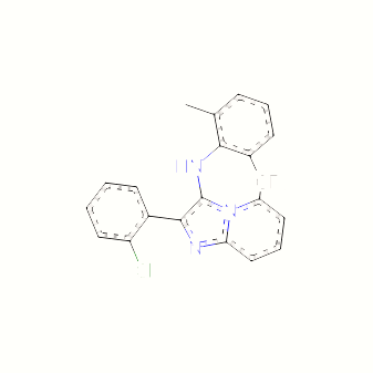 Cc1cccc(C)c1Nc1c(-c2ccccc2Cl)nc2cccc(C(F)(F)F)n12